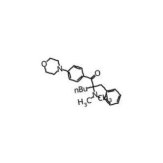 CCCCC(Cc1ccccc1)(C(=O)c1ccc(N2CCOCC2)cc1)N(C)C